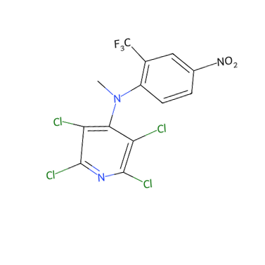 CN(c1ccc([N+](=O)[O-])cc1C(F)(F)F)c1c(Cl)c(Cl)nc(Cl)c1Cl